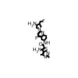 Cc1nc(C)c2c(N)c(C(=O)NC3CCc4nc(N5CC(N)C(CF)C5)cc(F)c4C3)sc2n1